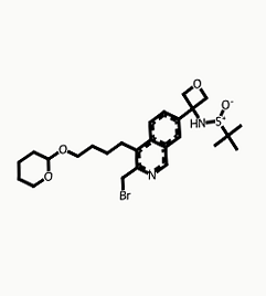 CC(C)(C)[S+]([O-])NC1(c2ccc3c(CCCCOC4CCCCO4)c(CBr)ncc3c2)COC1